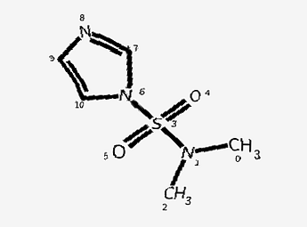 CN(C)S(=O)(=O)n1[c]ncc1